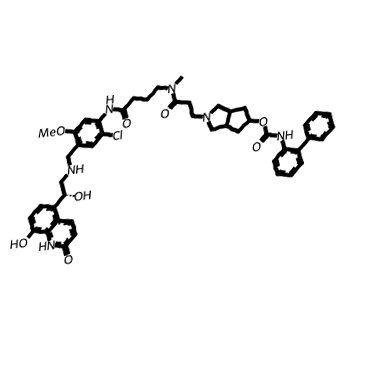 COc1cc(NC(=O)CCCN(C)C(=O)CCN2CC3CC(OC(=O)Nc4ccccc4-c4ccccc4)CC3C2)c(Cl)cc1CNC[C@H](O)c1ccc(O)c2[nH]c(=O)ccc12